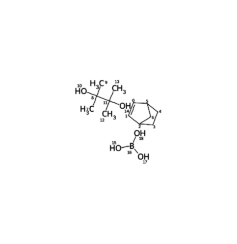 C1=CC2CCC1C2.CC(C)(O)C(C)(C)O.OB(O)O